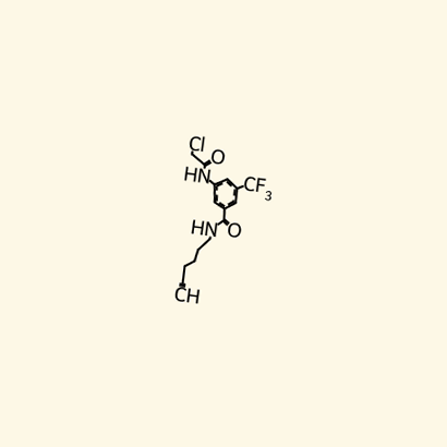 C#CCCCCNC(=O)c1cc(NC(=O)CCl)cc(C(F)(F)F)c1